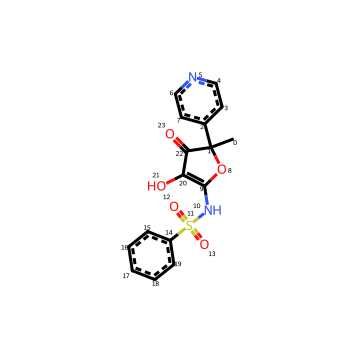 CC1(c2ccncc2)OC(NS(=O)(=O)c2ccccc2)=C(O)C1=O